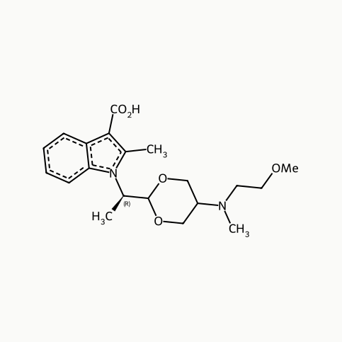 COCCN(C)C1COC([C@@H](C)n2c(C)c(C(=O)O)c3ccccc32)OC1